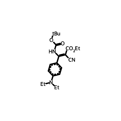 CCOC(=O)/C(C#N)=C(\NC(=O)OC(C)(C)C)c1ccc(N(CC)CC)cc1